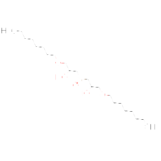 CCCCCCCCOCC(O)C[S+]([O-])CC(O)COCCCCCCCC